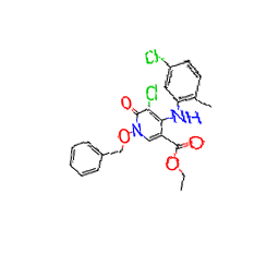 CCOC(=O)c1cn(OCc2ccccc2)c(=O)c(Cl)c1Nc1cc(Cl)ccc1C